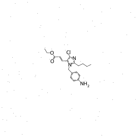 CCCCc1nc(Cl)c(C=CC(=O)OCC)n1Cc1ccc(N)cc1